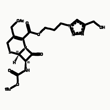 CC(=O)OCC1=C(C(=O)OCCCn2cc(CO)nn2)N2C(=O)[C@@H](NC(=O)OC(C)(C)C)[C@H]2SC1